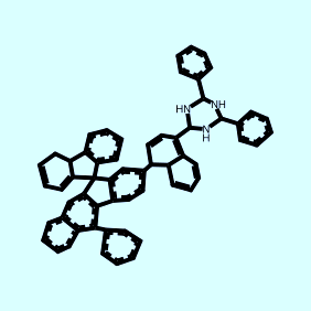 C1=CCC2C(=C1)C1(c3cc(C4C=CC(C5NC(c6ccccc6)NC(c6ccccc6)N5)=C5C=CC=CC54)ccc3-c3c1cc1ccccc1c3-c1ccccc1)c1ccccc12